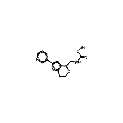 CC(C)(C)OC(=O)NCC1OCCc2sc(-c3cccnc3)cc21